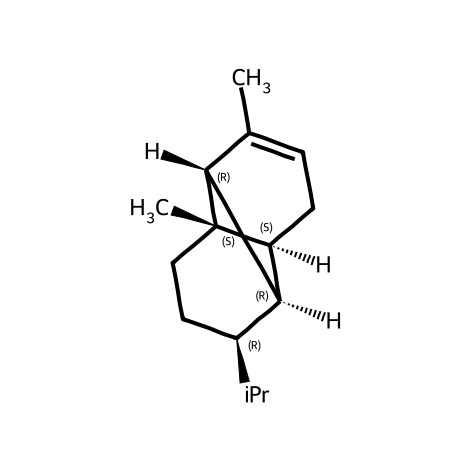 CC1=CC[C@H]2[C@H]3[C@@H](C(C)C)CC[C@]2(C)[C@H]13